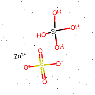 O=S(=O)([O-])[O-].O[Si](O)(O)O.[Zn+2]